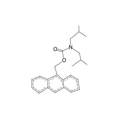 CC(C)CN(CC(C)C)C(=O)OCc1c2ccccc2cc2ccccc12